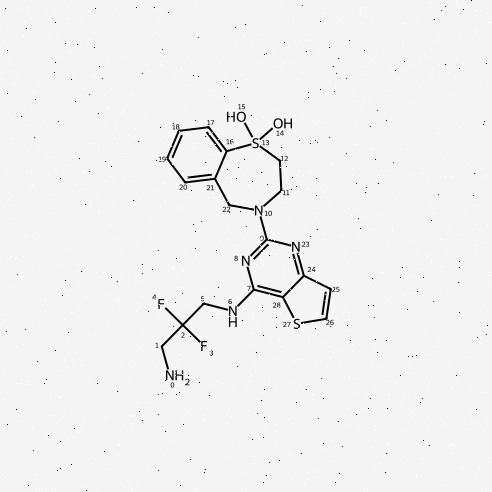 NCC(F)(F)CNc1nc(N2CCS(O)(O)c3ccccc3C2)nc2ccsc12